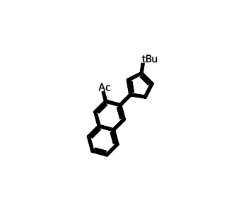 CC(=O)c1cc2ccccc2cc1C1=CC(C(C)(C)C)=CC1